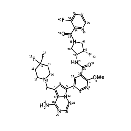 COc1ncc(-c2cc(CN3CCC(F)(F)CC3)c3c(N)ncnn23)cc1C(=O)N[C@@H]1CN(C(=O)c2ncccc2F)C[C@@H]1F